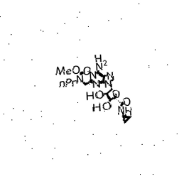 CCCN(Cc1nc(N)c2ncn([C@@H]3O[C@H](C(=O)NC4CC4)C(O)C3O)c2n1)C(=O)OC